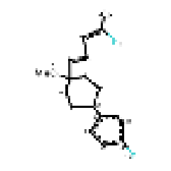 COC1(C=CC=C(F)C#N)CCC(c2ccc(F)cc2)CC1